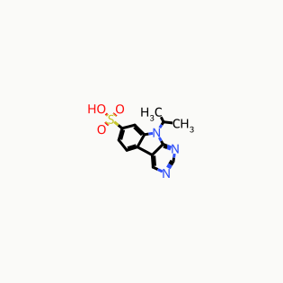 CC(C)n1c2cc(S(=O)(=O)O)ccc2c2cncnc21